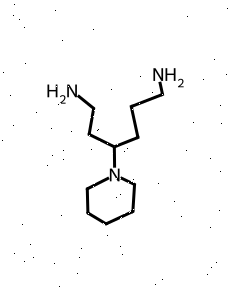 NCCCC(CCN)N1CCCCC1